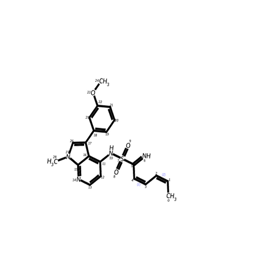 C/C=C\C=C/C(=N)S(=O)(=O)Nc1ccnc2c1c(-c1cccc(OC)c1)cn2C